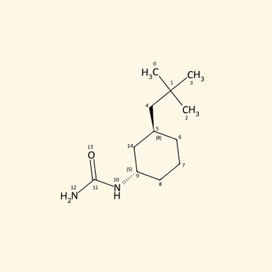 CC(C)(C)C[C@H]1CCC[C@H](NC(N)=O)C1